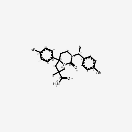 C[C@@H](c1ccc(Br)cc1)N1CCC(CC(C)(C)C(N)=O)(c2ccc(F)cc2)OC1=O